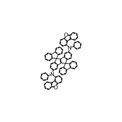 c1ccc(N(c2ccc3c(c2)C2=C(c4cc(N(c5ccccc5)c5cccc6oc7ccccc7c56)ccc4C24c2ccccc2-c2ccccc24)C32c3ccccc3-c3ccccc32)c2cccc3oc4ccccc4c23)cc1